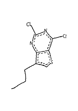 CCCc1csc2c(Cl)nc(Cl)nc12